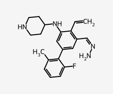 C=Cc1c(/C=N\N)cc(-c2c(C)cccc2F)cc1NC1CCNCC1